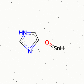 [O]=[SnH].c1c[nH]cn1